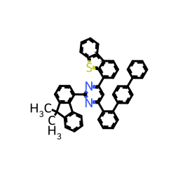 CC1(C)c2ccccc2-c2c(-c3nc(-c4ccccc4-c4ccc(-c5ccccc5)cc4)cc(-c4cccc5c4sc4ccccc45)n3)cccc21